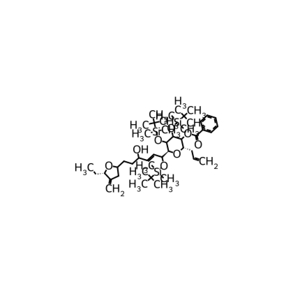 C=CC[C@@H]1O[C@@H](C(/C=C/C(O)CCC2CC(=C)[C@H](CC)O2)O[Si](C)(C)C(C)(C)C)C(O[Si](C)(C)C(C)(C)C)C(O[Si](C)(C)C(C)(C)C)C1OC(=O)c1ccccc1